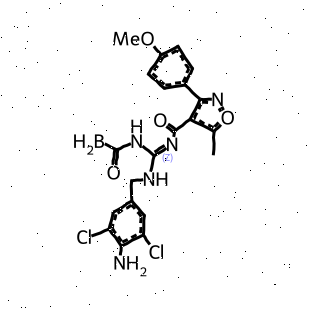 BC(=O)N/C(=N\C(=O)c1c(-c2ccc(OC)cc2)noc1C)NCc1cc(Cl)c(N)c(Cl)c1